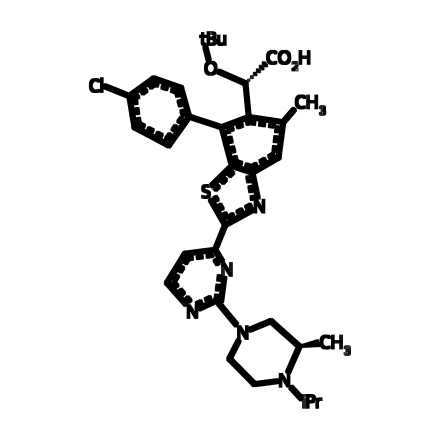 Cc1cc2nc(-c3ccnc(N4CCN(C(C)C)[C@H](C)C4)n3)sc2c(-c2ccc(Cl)cc2)c1[C@H](OC(C)(C)C)C(=O)O